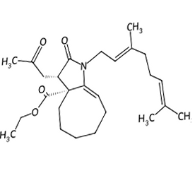 CCOC(=O)[C@@]12CCCCC/C=C\1N(C/C=C(\C)CCC=C(C)C)C(=O)[C@H]2CC(C)=O